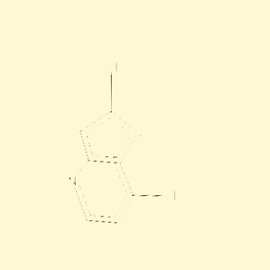 Clc1cc2nccc(Cl)c2s1